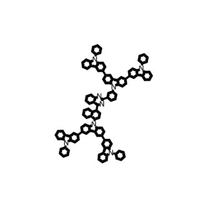 c1ccc(-n2c3ccccc3c3cc(-c4ccc5c(c4)c4cc(-c6ccc7c(c6)c6ccccc6n7-c6ccccc6)ccc4n5-c4cccc(-c5nc(-c6ccc(-n7c8ccc(-c9ccc%10c(c9)c9ccccc9n%10-c9ccccc9)cc8c8cc(-c9ccc%10c(c9)c9ccccc9n%10-c9ccccc9)ccc87)c7ccccc67)c6ccccc6n5)c4)ccc32)cc1